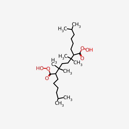 CC(C)CCCCC(C(=O)OO)C(C)(C)CCC(C)(C)C(CCCCC(C)C)C(=O)OO